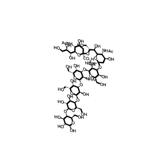 CC(=O)N[C@H]1[C@H](O[C@H]2[C@@H](O)[C@@H](CO)O[C@H](O[C@@H]3[C@H](O)[C@@H](O)[C@H](O[C@H]4[C@H](O)[C@@H](O)[C@H](O)O[C@@H]4CO)O[C@@H]3CO)[C@@H]2O)O[C@H](CO)[C@H](O)[C@@H]1O[C@@H]1O[C@H](CO)[C@H](O)[C@H](O[C@]2(C(=O)O)C[C@H](O)[C@@H](NC(C)=O)[C@H]([C@H](O)[C@@H](CO)O[C@]3(C(=O)O)C[C@H](O)[C@@H](NC(C)=O)[C@H]([C@H](O)[C@H](O)CO)O3)O2)[C@H]1O